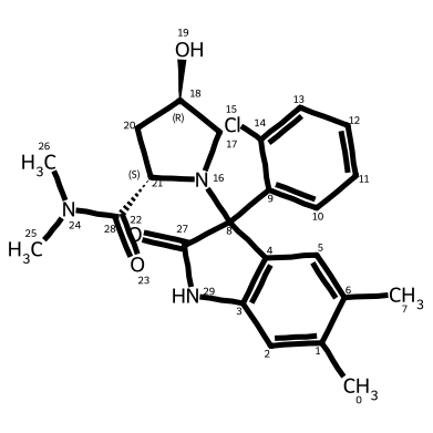 Cc1cc2c(cc1C)C(c1ccccc1Cl)(N1C[C@H](O)C[C@H]1C(=O)N(C)C)C(=O)N2